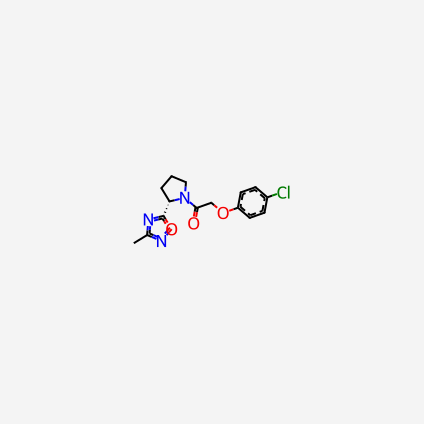 Cc1noc([C@@H]2CCCN2C(=O)COc2ccc(Cl)cc2)n1